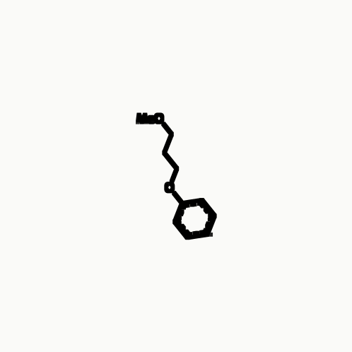 COCCCOc1cc[c]cc1